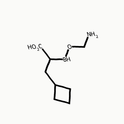 NCOBC(CC1CCC1)C(=O)O